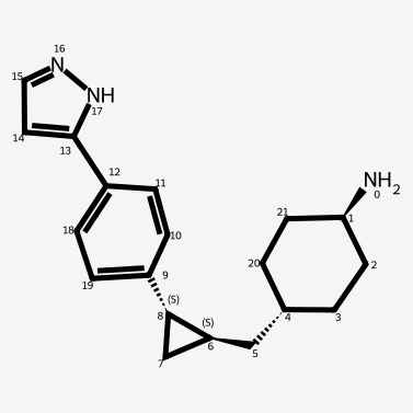 N[C@H]1CC[C@H](C[C@H]2C[C@@H]2c2ccc(-c3ccn[nH]3)cc2)CC1